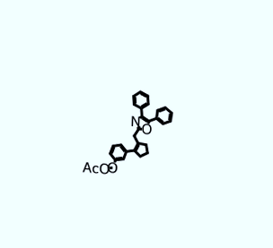 CC(=O)OOc1cccc(C2=C(Cc3nc(-c4ccccc4)c(-c4ccccc4)o3)CCC2)c1